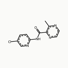 Cc1nccnc1C(=O)Nc1ccc(Cl)cn1